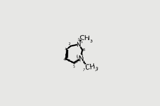 CN1CC=CCN(C)C1